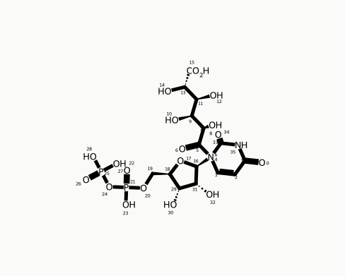 O=C1C=C[N+](C(=O)[C@H](O)[C@@H](O)[C@H](O)[C@H](O)C(=O)O)([C@@H]2O[C@H](COP(=O)(O)OP(=O)(O)O)[C@@H](O)[C@H]2O)C(=O)N1